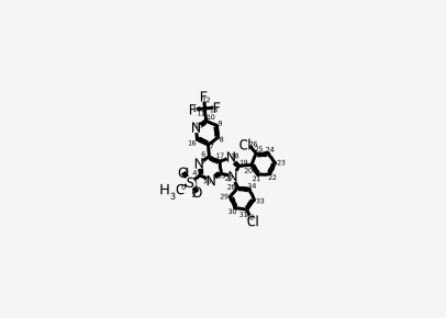 CS(=O)(=O)c1nc(-c2ccc(C(F)(F)F)nc2)c2nc(-c3ccccc3Cl)n(-c3ccc(Cl)cc3)c2n1